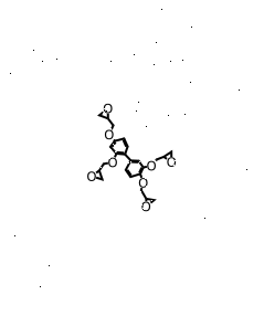 c1cc(-c2ccc(OCC3CO3)c(OCC3CO3)c2)c(OCC2CO2)cc1OCC1CO1